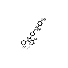 CCOc1ccc(S(=O)(=O)NCc2ccc(-c3nn([C@@H]4CCCN(C(=O)O)C4)c4ncnc(N)c34)cc2)cc1